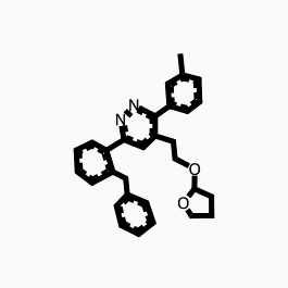 Cc1cccc(-c2nnc(-c3ccccc3Cc3ccccc3)cc2CCOC2CCCO2)c1